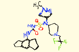 Cn1cc(N(C2CCN(CC(F)(F)F)CC2)S(=O)(=O)NC(=O)Nc2c3c(cc4c2CCC4)CCC3)cn1